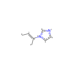 C/C=C(\C)n1ccnc1